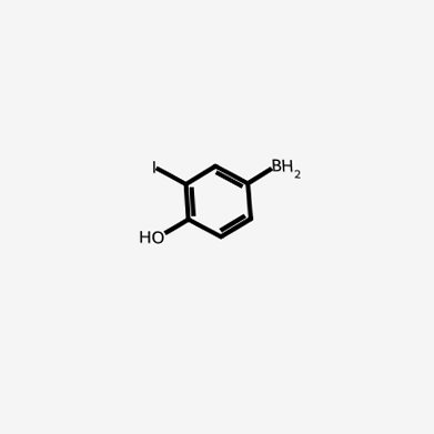 Bc1ccc(O)c(I)c1